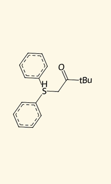 CC(C)(C)C(=O)C[SH](c1ccccc1)c1ccccc1